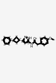 COc1ccc(CC(=O)Nc2cc([C@H]3C[C@@H](c4ccccc4)C3)n[nH]2)cc1